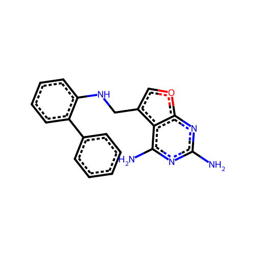 Nc1nc(N)c2c(CNc3ccccc3-c3ccccc3)coc2n1